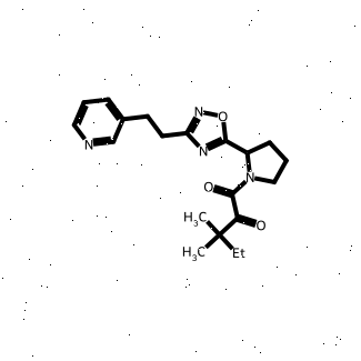 CCC(C)(C)C(=O)C(=O)N1CCCC1c1nc(CCc2cccnc2)no1